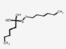 CCCCCCSSC(O)(O)CCCCC